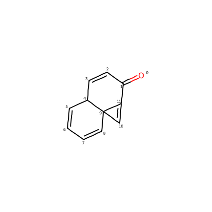 O=C1C=CC2C=CC=CC23C=C13